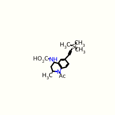 CC(=O)N1c2ccc(C#C[Si](C)(C)C)cc2[C@H](NC(=O)O)C[C@@H]1C